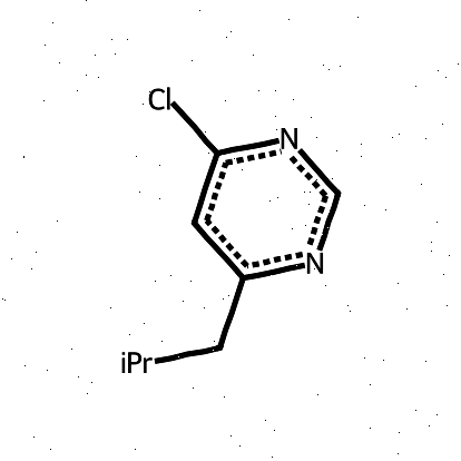 CC(C)Cc1cc(Cl)ncn1